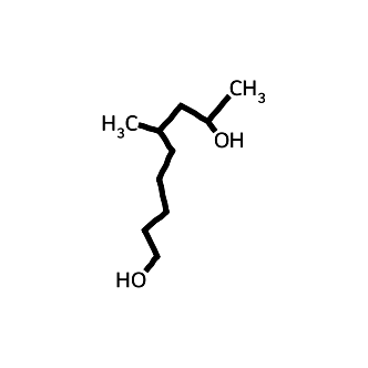 CC(O)CC(C)CCCCCO